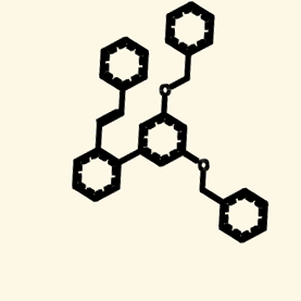 C(=Cc1ccccc1-c1cc(OCc2ccccc2)cc(OCc2ccccc2)c1)c1ccccc1